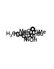 CCCCc1nc(O)c(-c2nnc(CC(=O)N3CCN(C)CC3)o2)c(O)c1-c1c(OC)cccc1OC